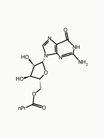 CCCC(=O)OC[C@H]1O[C@@H](n2cnc3c(=O)[nH]c(N)nc32)[C@H](O)[C@@H]1O